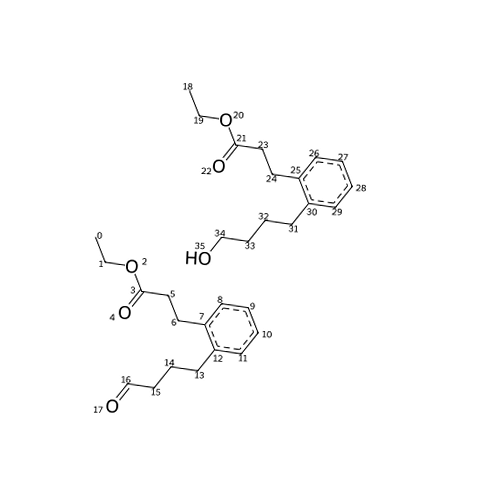 CCOC(=O)CCc1ccccc1CCCC=O.CCOC(=O)CCc1ccccc1CCCCO